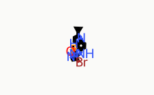 CP(C)(=O)c1c(Nc2[nH]ncc2Br)ccc2nc(C3CC3)ccc12